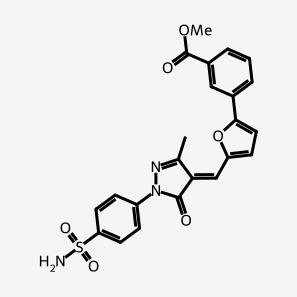 COC(=O)c1cccc(-c2ccc(C=C3C(=O)N(c4ccc(S(N)(=O)=O)cc4)N=C3C)o2)c1